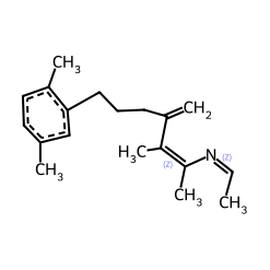 C=C(CCCc1cc(C)ccc1C)/C(C)=C(C)\N=C/C